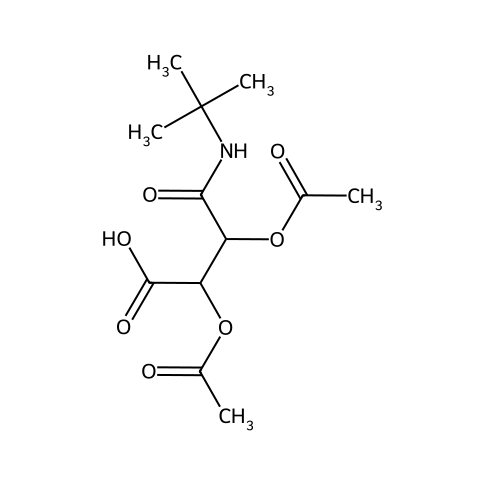 CC(=O)OC(C(=O)O)C(OC(C)=O)C(=O)NC(C)(C)C